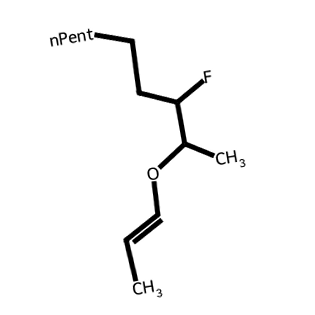 CC=COC(C)C(F)CCCCCCC